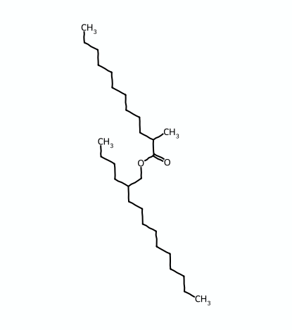 CCCCCCCCCCC(CCCC)COC(=O)C(C)CCCCCCCCCC